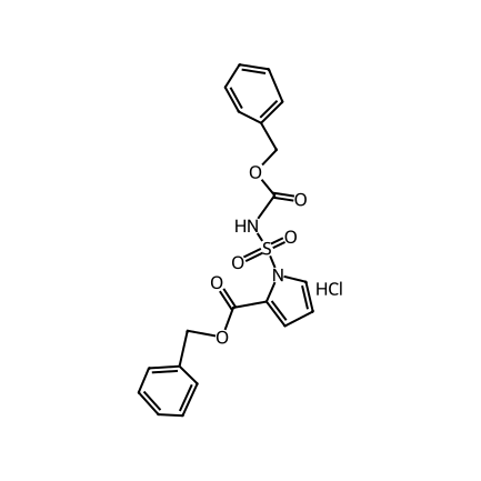 Cl.O=C(NS(=O)(=O)n1cccc1C(=O)OCc1ccccc1)OCc1ccccc1